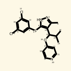 Cc1n[nH]c(Sc2cc(Cl)cc(Cl)c2)c1C(Oc1ccncc1)C(C)C